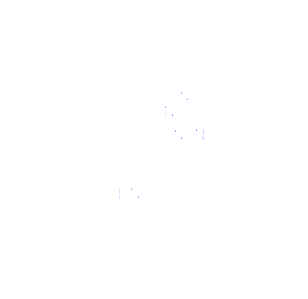 CCOC(=O)C1CC(n2nnc(S)n2)CCN1